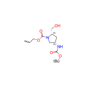 C=CCOC(=O)N1C[C@@H](NC(=O)OC(C)(C)C)C[C@H]1CO